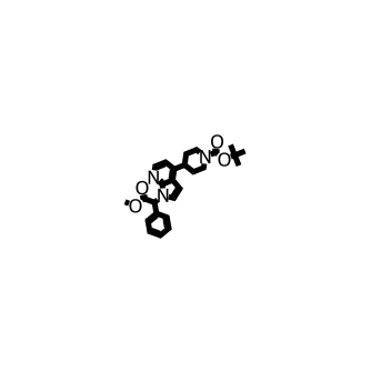 COC(=O)C(c1ccccc1)n1ccc2c(C3CCN(C(=O)OC(C)(C)C)CC3)ccnc21